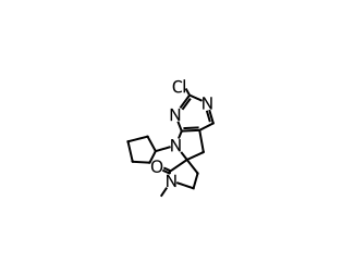 CN1CCC2(Cc3cnc(Cl)nc3N2C2CCCC2)C1=O